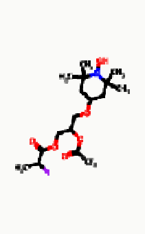 CC(I)C(=O)OCC(COC1CC(C)(C)N(O)C(C)(C)C1)OC(=O)C(F)(F)F